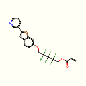 C=CC(=O)OCC(F)(F)C(F)(F)C(F)(F)COc1ccc2cc(-c3cccnc3)sc2c1